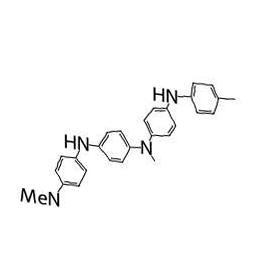 CNc1ccc(Nc2ccc(N(C)c3ccc(Nc4ccc(C)cc4)cc3)cc2)cc1